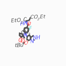 CCOC(=O)CC[C@H](NC(=O)c1ccc(N(C2CCC3=C(CNC=N3)C2)C2(COC(=O)C(C)(C)C)C(=O)CCC2C)cc1F)C(=O)OCC